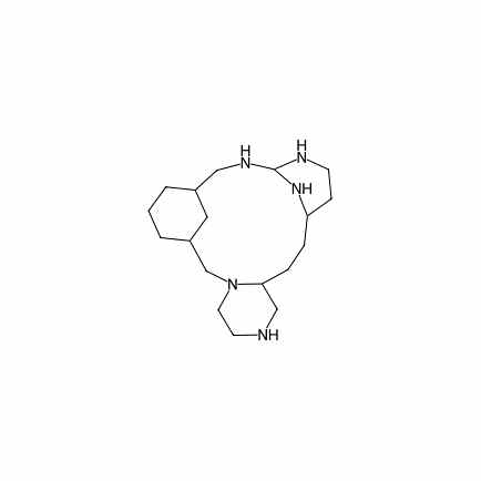 C1CC2CNC3NCCC(CCC4CNCCN4CC(C1)C2)N3